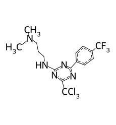 CN(C)CCCNc1nc(-c2ccc(C(F)(F)F)cc2)nc(C(Cl)(Cl)Cl)n1